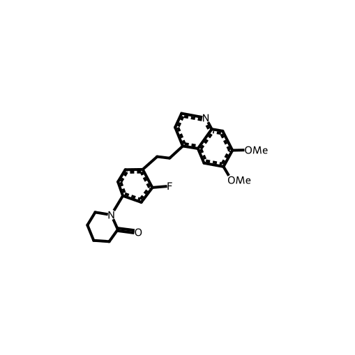 COc1cc2nccc(CCc3ccc(N4CCCCC4=O)cc3F)c2cc1OC